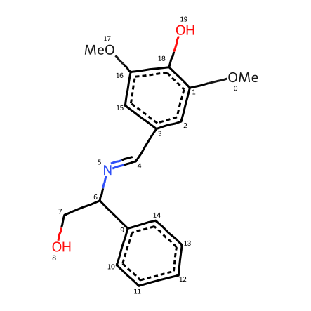 COc1cc(/C=N/C(CO)c2ccccc2)cc(OC)c1O